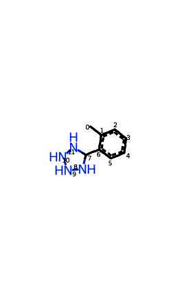 Cc1ccccc1C1NNNN1